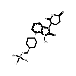 Cn1c(=O)n(C2CCC(=O)NC2=O)c2cccc([C@H]3CC[C@H](CO[Si](C)(C)C(C)(C)C)CC3)c21